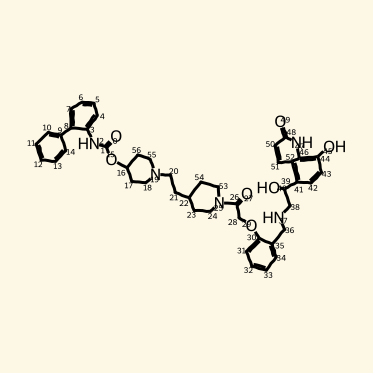 O=C(Nc1ccccc1-c1ccccc1)OC1CCN(CCC2CCN(C(=O)COc3ccccc3CNCC(O)c3ccc(O)c4[nH]c(=O)ccc34)CC2)CC1